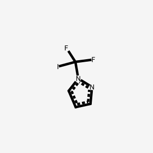 FC(F)(I)n1cccn1